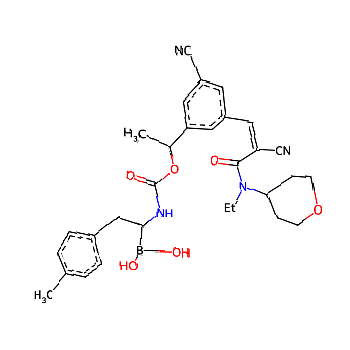 CCN(C(=O)C(C#N)=Cc1cc(C#N)cc(C(C)OC(=O)NC(Cc2ccc(C)cc2)B(O)O)c1)C1CCOCC1